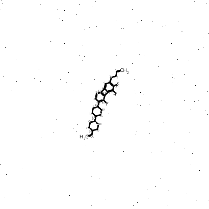 C=CCCc1cc2c(c(F)c1F)-c1c-2ccc(C2CCC(C3CCC(C=C)CC3)CC2)c1F